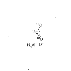 [18O]=[18O+][18O-].[AlH4-].[Li+]